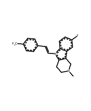 CN1CCc2c(c3cc(F)ccc3n2C=Cc2ccc(C(F)(F)F)cc2)C1